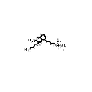 CCCCNc1cc2c(CCCCNC(C)(C)C)cccc2nc1N